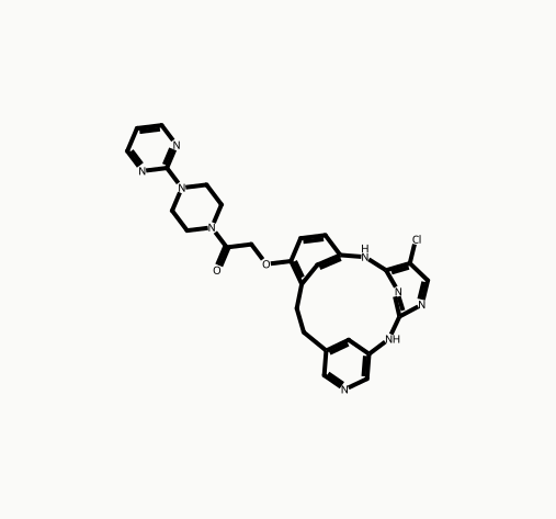 O=C(COc1ccc2cc1CCc1cncc(c1)Nc1ncc(Cl)c(n1)N2)N1CCN(c2ncccn2)CC1